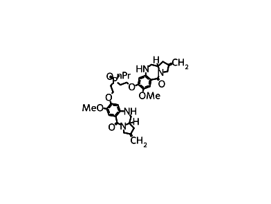 C=C1C[C@H]2CNc3cc(OCCP(=O)(CCC)CCOc4cc5c(cc4OC)C(=O)N4CC(=C)C[C@H]4CN5)c(OC)cc3C(=O)N2C1